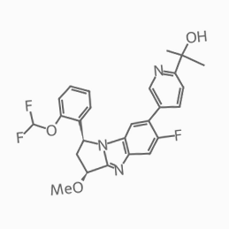 CO[C@H]1C[C@@H](c2ccccc2OC(F)F)n2c1nc1cc(F)c(-c3ccc(C(C)(C)O)nc3)cc12